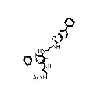 CC(=O)NCCNc1nc(-c2ccccc2)nc(NCCNC(=O)Cc2ccc(-c3ccccc3)cc2)c1C